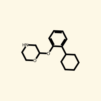 c1ccc(C2CCCCC2)c(OC2CNCCO2)c1